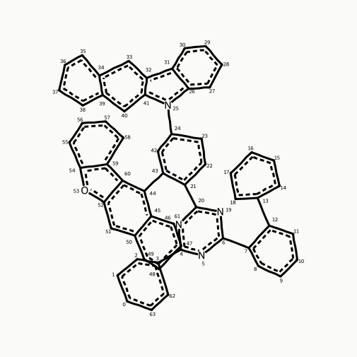 c1ccc(-c2nc(-c3ccccc3-c3ccccc3)nc(-c3ccc(-n4c5ccccc5c5cc6ccccc6cc54)cc3-c3c4ccccc4cc4oc5ccccc5c34)n2)cc1